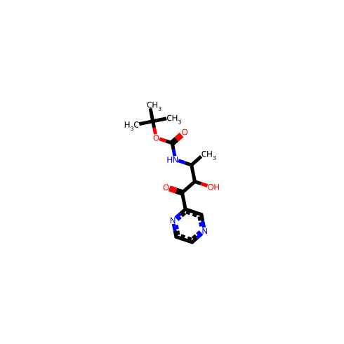 CC(NC(=O)OC(C)(C)C)C(O)C(=O)c1cnccn1